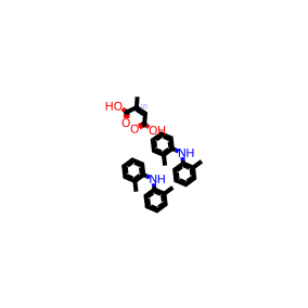 C/C(=C/C(=O)O)C(=O)O.Cc1ccccc1Nc1ccccc1C.Cc1ccccc1Nc1ccccc1C